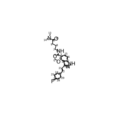 COc1c(C(=O)NCCCC(=O)N(C)C)ccc2[nH]nc(/C=C/c3ccc(F)cc3)c12